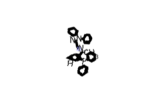 C[C@H](/N=C/c1nc2ccccc2n1-c1ccccc1)C1C(P(c2ccccc2)c2ccccc2)=C2CC1C1C[C@@H]21